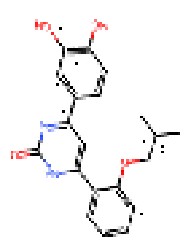 CC(C)COc1ccccc1-c1cc(-c2ccc(O)c(O)c2)nc(=O)[nH]1